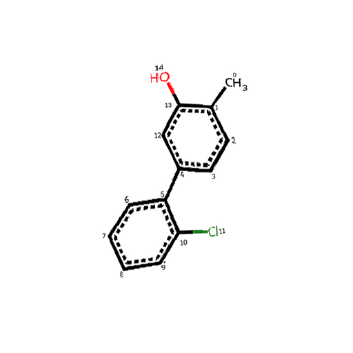 Cc1ccc(-c2ccc[c]c2Cl)cc1O